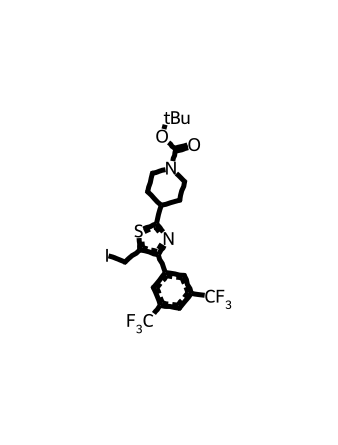 CC(C)(C)OC(=O)N1CCC(c2nc(-c3cc(C(F)(F)F)cc(C(F)(F)F)c3)c(CI)s2)CC1